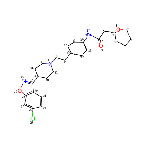 O=C(CC1CCCCO1)NC1CCC(CCN2CCC(c3noc4cc(Cl)ccc34)CC2)CC1